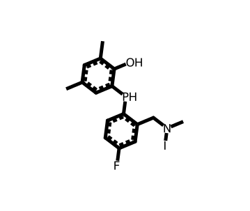 Cc1cc(C)c(O)c(Pc2ccc(F)cc2CN(C)I)c1